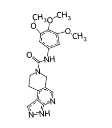 COc1cc(NC(=O)N2CCc3c(cnc4[nH]ncc34)C2)cc(OC)c1OC